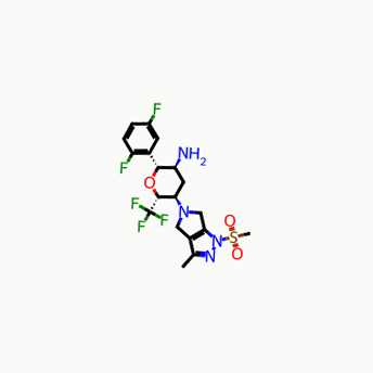 Cc1nn(S(C)(=O)=O)c2c1CN([C@@H]1C[C@H](N)[C@@H](c3cc(F)ccc3F)O[C@H]1C(F)(F)F)C2